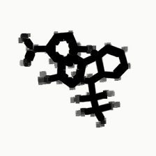 O=[N+]([O-])c1ccc(OC2(c3ccc(O)cc3)C=CC=CC2C(F)C(F)(F)C(F)(F)F)cc1